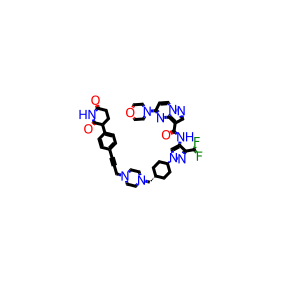 O=C1CCC(c2ccc(C#CCN3CCN(C[C@H]4CC[C@H](n5cc(NC(=O)c6cnn7ccc(N8CCOCC8)nc67)c(C(F)F)n5)CC4)CC3)cc2)C(=O)N1